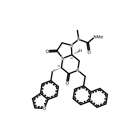 CNC(=O)N(C)N1CC(=O)N2[C@@H](Cc3ccc4occc4c3)C(=O)N(Cc3cccc4ccccc34)C[C@@H]21